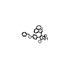 O=C1NC(=O)C(c2cn3c4c(cccc24)CCC3)=C1c1ccc(OCc2ccccc2)cc1